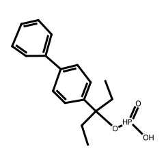 CCC(CC)(O[PH](=O)O)c1ccc(-c2ccccc2)cc1